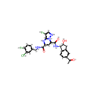 CC(=O)c1ccc2c(c1)C[C@H](O)[C@@H]2NC(=O)c1cc(C(=O)NCc2ccc(F)c(Cl)c2)nc2c(F)cnn12